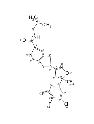 C=C(C)CNC(=O)c1cc2c(cn1)CN(C1=NOC(c3cc(Cl)c(F)c(Cl)c3)(C(F)(F)F)C1)C2